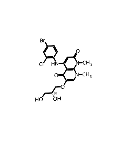 Cn1cc(OC[C@H](O)CO)c(=O)c2c(Nc3ccc(Br)cc3Cl)cc(=O)n(C)c21